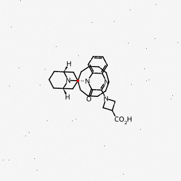 O=C(O)C1CN(c2nc3ccccc3n([C@H]3C[C@H]4CCC[C@@H](C3)N4C3CCCCCCCCC3)c2=O)C1